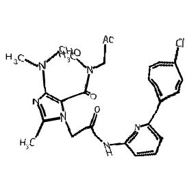 CC(=O)CN(C)C(=O)c1c(N(C)C=O)nc(C)n1CC(=O)Nc1cccc(-c2ccc(Cl)cc2)n1